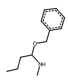 CCCC(NC)OCc1ccccc1